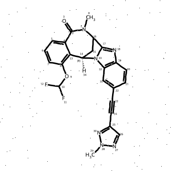 CN1C(=O)c2cccc(OC(F)F)c2[C@H]2CC1c1nc3ccc(C#Cc4cnn(C)n4)cc3n12